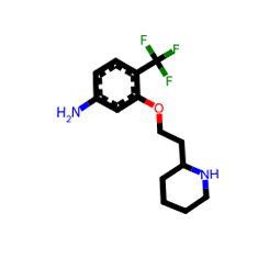 Nc1ccc(C(F)(F)F)c(OCCC2CCCCN2)c1